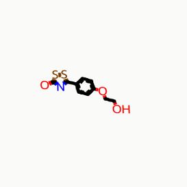 O=c1nc(-c2ccc(OCCO)cc2)ss1